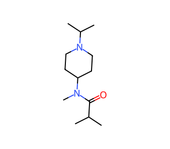 CC(C)C(=O)N(C)C1CCN(C(C)C)CC1